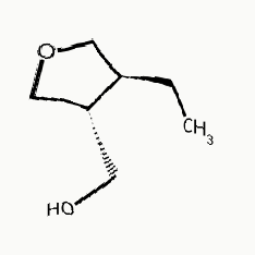 CC[C@@H]1COC[C@H]1CO